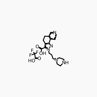 O=C(O)C(F)(F)F.O=C(O)c1c2c(nn1CCCN1CCNCC1)-c1ccncc1CC2